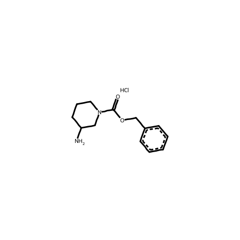 Cl.NC1CCCN(C(=O)OCc2ccccc2)C1